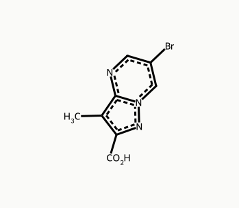 Cc1c(C(=O)O)nn2cc(Br)cnc12